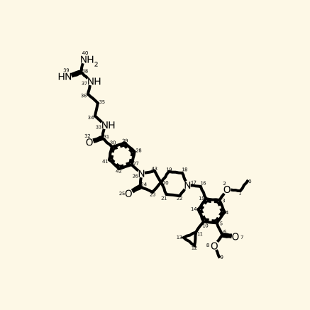 CCOc1cc(C(=O)OC)c(C2CC2)cc1CN1CCC2(CC1)CC(=O)N(c1ccc(C(=O)NCCCNC(=N)N)cc1)C2